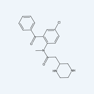 CN(C(=O)CC1CNCCN1)c1ccc(Cl)cc1C(=O)c1ccccc1